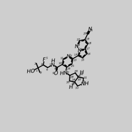 CC(C)(O)C(F)CNC(=O)c1cnc(-c2ccc3cc(C#N)cnn23)cc1NC1C[C@H]2CNC[C@H]2C1